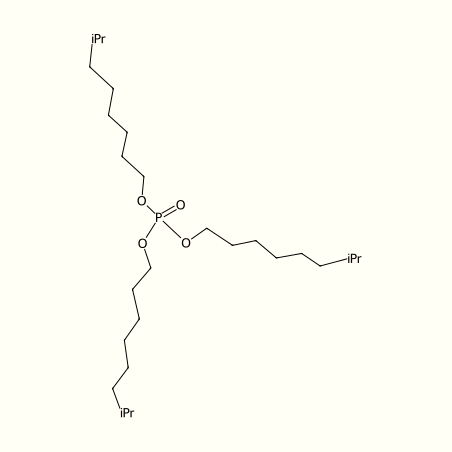 CC(C)CCCCCCOP(=O)(OCCCCCCC(C)C)OCCCCCCC(C)C